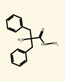 NNC(=O)C(N)(Cc1ccccc1)Cc1ccccc1